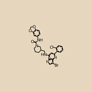 O=C(Nc1ccc2c(c1)OCO2)N1CCCC(CNc2cc(-c3ccccc3Cl)nc3c(Br)cnn23)C1